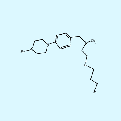 CC(C)CCCOCCN(C)Cc1ccc(N2CCN(C(C)C)CC2)cc1